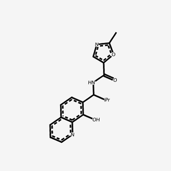 Cc1ncc(C(=O)NC(c2ccc3cccnc3c2O)C(C)C)o1